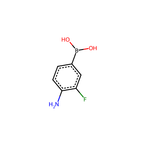 Nc1ccc(B(O)O)cc1F